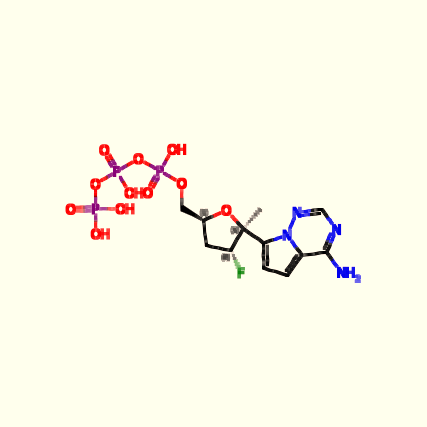 C[C@@]1(c2ccc3c(N)ncnn23)O[C@H](COP(=O)(O)OP(=O)(O)OP(=O)(O)O)C[C@H]1F